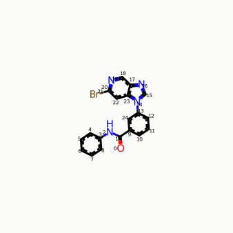 O=C(Nc1ccccc1)c1cccc(-n2cnc3cnc(Br)cc32)c1